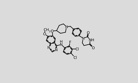 COc1cc2ncnc(Nc3ccc(Cl)c(Cl)c3F)c2cc1OC1CCN(Cc2ccc(N3CCC(=O)NC3=O)cc2)CC1